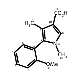 COc1ccccc1-c1c(C)c(C(=O)O)cn1C